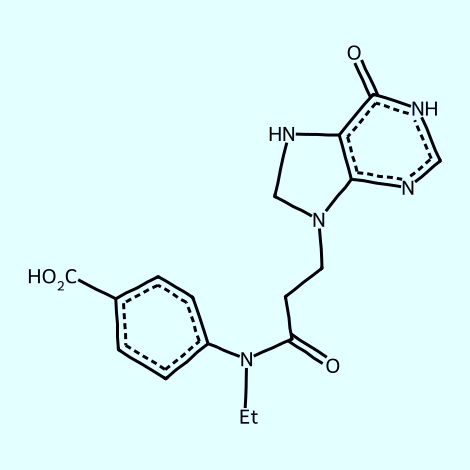 CCN(C(=O)CCN1CNc2c1nc[nH]c2=O)c1ccc(C(=O)O)cc1